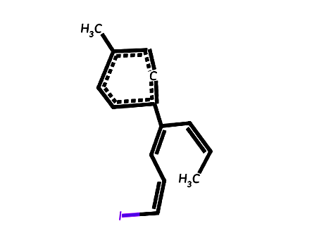 C\C=C/C(=C\C=C/I)c1ccc(C)cc1